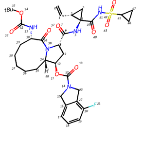 C=C[C@@H]1C[C@]1(NC(=O)[C@@H]1C[C@@H](OC(=O)N2Cc3cccc(F)c3C2)[C@@H]2CCCCC[C@H](NC(=O)OC(C)(C)C)C(=O)N12)C(=O)NS(=O)(=O)C1CC1